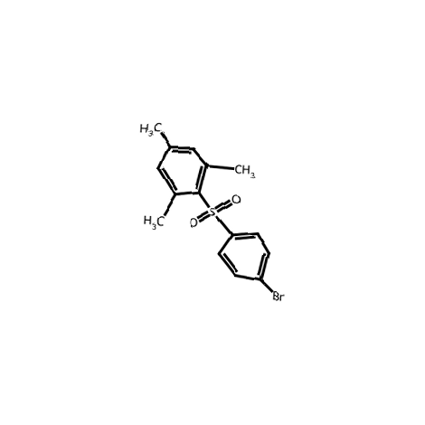 Cc1cc(C)c(S(=O)(=O)c2ccc(Br)cc2)c(C)c1